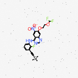 C[Si](C)(C)C#Cc1cccc(Nc2ncnc3cc(OCCOC(F)F)c([N+](=O)[O-])cc23)c1F